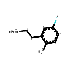 CCCCCCCc1cc(F)ccc1C